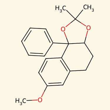 COc1ccc2c(c1)CCC1OC(C)(C)OC21c1ccccc1